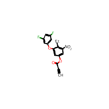 C#CC(=O)Oc1cc(Oc2cc(F)cc(F)c2)c(CC)c([N+](=O)[O-])c1